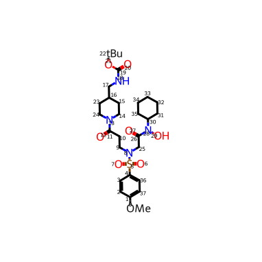 COc1ccc(S(=O)(=O)N(CCC(=O)N2CCC(CNC(=O)OC(C)(C)C)CC2)CC(=O)N(O)C2CCCCC2)cc1